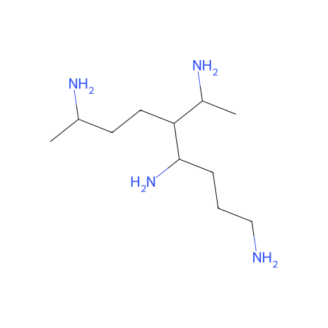 CC(N)CCC(C(C)N)C(N)CCCN